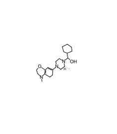 C[C@@H]1CN(C2=CC3=C(CC2)N(C)CCO3)CCN1C(O)C1CCCCC1